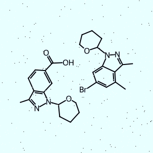 Cc1cc(Br)cc2c1c(C)nn2C1CCCCO1.Cc1nn(C2CCCCO2)c2cc(C(=O)O)ccc12